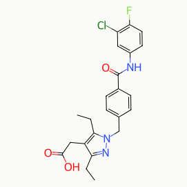 CCc1nn(Cc2ccc(C(=O)Nc3ccc(F)c(Cl)c3)cc2)c(CC)c1CC(=O)O